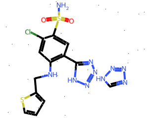 NS(=O)(=O)c1cc(-c2nnn[nH]2)c(NCc2cccs2)cc1Cl.c1nnn[nH]1